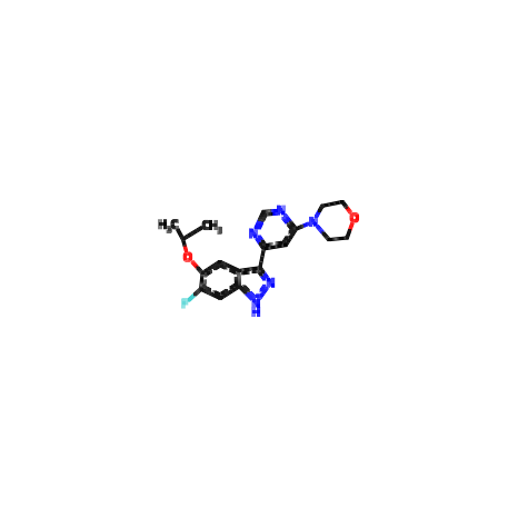 CC(C)Oc1cc2c(-c3cc(N4CCOCC4)ncn3)n[nH]c2cc1F